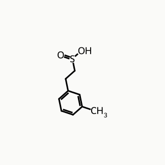 Cc1cccc(CCS(=O)O)c1